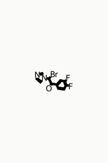 O=C(c1ccc(F)c(F)c1)C(Br)n1ccnc1